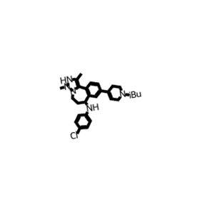 CCC(C)N1CC=C(c2ccc3c(c2)C(Nc2ccc(Cl)cc2)CCN2C3=C(C)NN2C)CC1